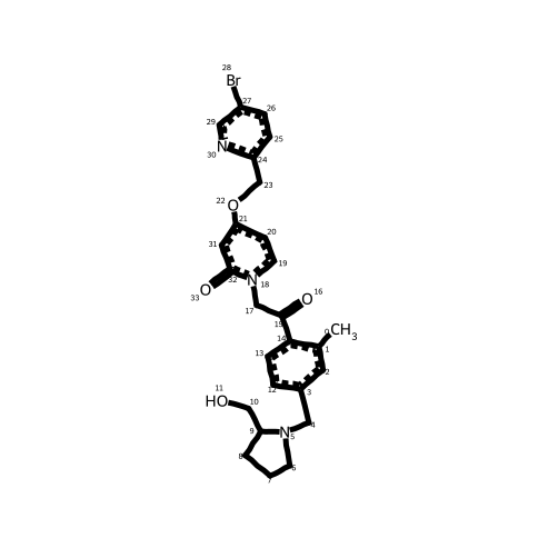 Cc1cc(CN2CCCC2CO)ccc1C(=O)Cn1ccc(OCc2ccc(Br)cn2)cc1=O